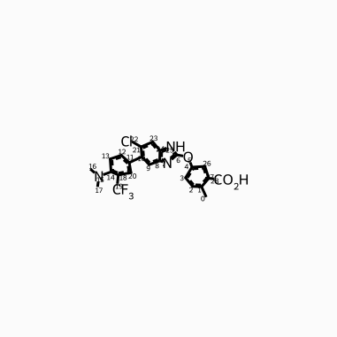 Cc1ccc(Oc2nc3cc(-c4ccc(N(C)C)c(C(F)(F)F)c4)c(Cl)cc3[nH]2)cc1C(=O)O